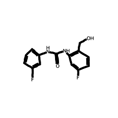 O=C(Nc1cccc(F)c1)Nc1cc(F)ccc1CO